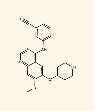 C#Cc1cccc(Nc2ncnc3cc(OCC)c(OC4CCNCC4)cc23)c1